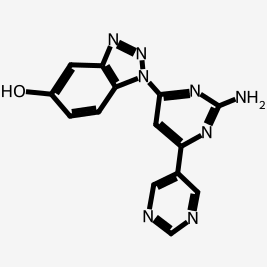 Nc1nc(-c2cncnc2)cc(-n2nnc3cc(O)ccc32)n1